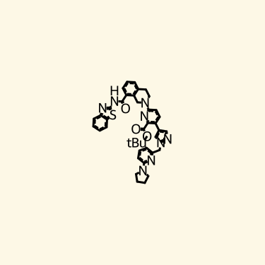 CC(C)(C)OC(=O)c1nc(N2CCc3cccc(C(=O)Nc4nc5ccccc5s4)c3C2)ccc1-c1cnn(Cc2cccc(N3CCCC3)n2)c1